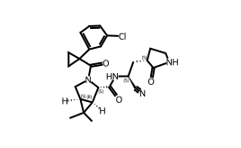 CC1(C)[C@@H]2[C@@H](C(=O)N[C@H](C#N)C[C@@H]3CCNC3=O)N(C(=O)C3(c4cccc(Cl)c4)CC3)C[C@@H]21